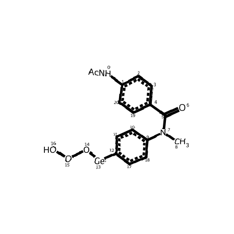 CC(=O)Nc1ccc(C(=O)N(C)c2cc[c]([Ge][O]OO)cc2)cc1